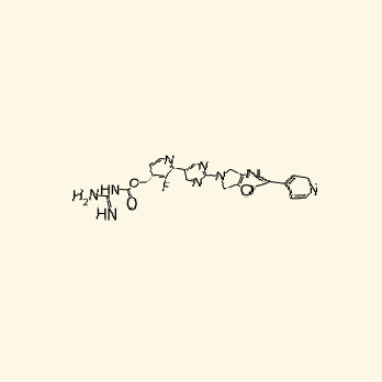 N=C(N)NC(=O)OCc1ccnc(-c2cnc(N3Cc4nc(-c5ccncc5)oc4C3)nc2)c1F